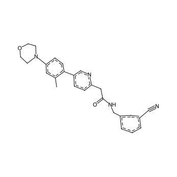 Cc1cc(N2CCOCC2)ccc1-c1ccc(CC(=O)NCc2cccc(C#N)c2)nc1